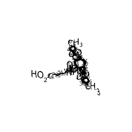 Cc1ccc(S(=O)(=O)n2cc3c(c2)CC(OC(=O)NCCCCCC(=O)O)c2cn(S(=O)(=O)c4ccc(C)cc4)cc2C#C3)cc1